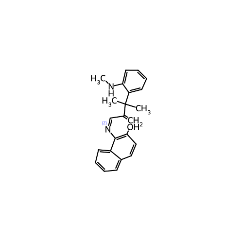 C=C(/C=N\c1c(O)ccc2ccccc12)C(C)(C)c1ccccc1NC